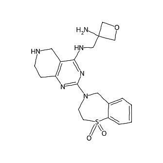 NC1(CNc2nc(N3CCS(=O)(=O)c4ccccc4C3)nc3c2CNCC3)COC1